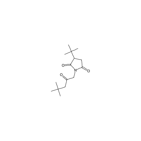 CC(C)(C)CC(=O)CN1C(=O)CC(C(C)(C)C)C1=O